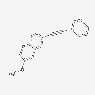 COc1ccc2ccc(C#Cc3ccccc3)cc2c1